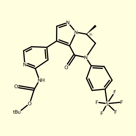 C[C@H]1CN(c2ccc(S(F)(F)(F)(F)F)cc2)C(=O)c2c(-c3ccnc(NC(=O)OC(C)(C)C)c3)cnn21